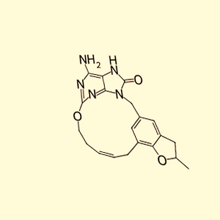 CC1Cc2cc3cc(c2O1)C/C=C\CCOc1nc(N)c2[nH]c(=O)n(c2n1)C3